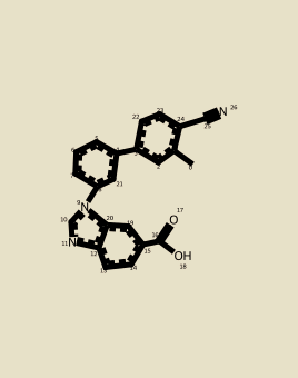 Cc1cc(-c2cccc(-n3cnc4ccc(C(=O)O)cc43)c2)ccc1C#N